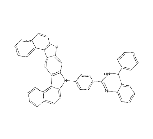 c1ccc(C2NC(c3ccc(-n4c5cc6oc7ccc8ccccc8c7c6cc5c5c6ccccc6ccc54)cc3)=Nc3ccccc32)cc1